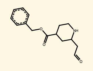 O=CCC1CC(C(=O)OCc2ccccc2)CCN1